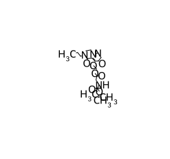 CCCN1CCn2ncc(=O)c(OCOC(=O)CNC(=O)OC(C)(C)C)c2C1=O